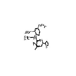 CCCc1ccc(N(CC)c2nc(C)cc(-c3cccs3)n2)c(Br)c1